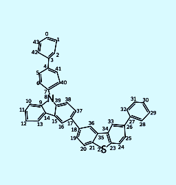 c1ccc(-c2ccc(-n3c4ccccc4c4cc(-c5ccc6sc7ccc(-c8ccccc8)cc7c6c5)ccc43)cc2)cc1